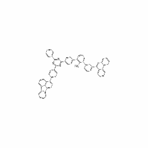 N#Cc1c(-c2ccc(-c3nc(-c4ccccc4)nc(-c4ccc(-c5ccc6c7c(cccc57)-c5ccccc5-6)cc4)n3)cc2)cccc1-c1cccc(-c2cc3ccccc3c3ccccc23)c1